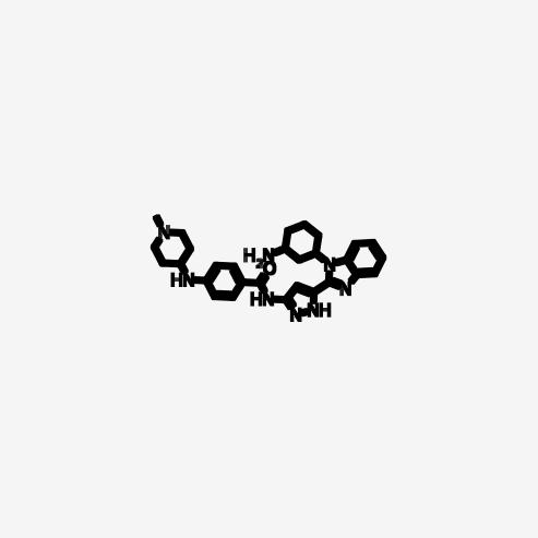 CN1CCC(Nc2ccc(C(=O)Nc3cc(-c4nc5ccccc5n4C4CCCC(N)C4)[nH]n3)cc2)CC1